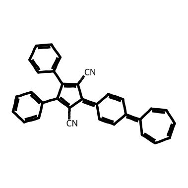 N#CC1=C(c2ccccc2)C(c2ccccc2)=C(C#N)C1=c1ccc(=C2C=CC=CC=C2)cc1